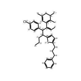 C/C=C(\C1=C(C)C(F)CC(C)=C1)C(c1ccc(Cl)cc1)C(CCC)c1ccc(CCCc2ccccc2)s1